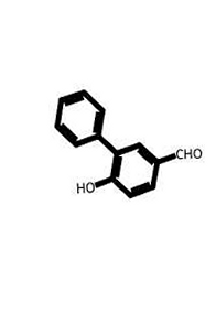 O=Cc1ccc(O)c(-c2ccccc2)c1